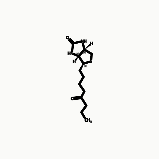 CCCC(=O)CCCC[C@@H]1SC[C@@H]2NC(=O)N[C@@H]21